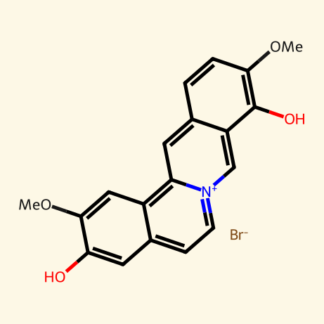 COc1cc2c(cc[n+]3cc4c(O)c(OC)ccc4cc23)cc1O.[Br-]